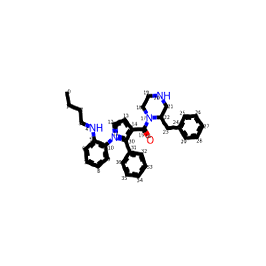 CCCCNc1ccccc1-n1ccc(C(=O)N2CCNCC2Cc2ccccc2)c1-c1ccccc1